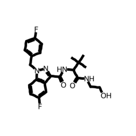 CC(C)(C)C(NC(=O)c1nn(Cc2ccc(F)cc2)c2ccc(F)cc12)C(=O)NCCO